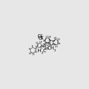 C[C](C)=[Zr+2]([C]1=CC(C2CCCCC2)=CC1)[c]1cccc2c1Cc1ccccc1-2.[Cl-].[Cl-]